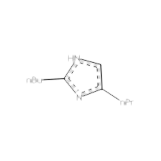 CCCCc1nc(CCC)c[nH]1